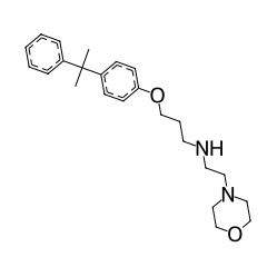 CC(C)(c1ccccc1)c1ccc(OCCCNCCN2CCOCC2)cc1